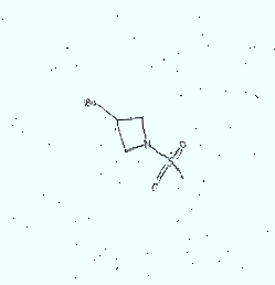 CCC(C)C1CN(S(C)(=O)=O)C1